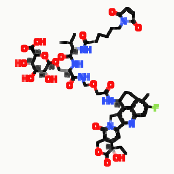 CC[C@@]1(O)C(=O)OCc2c1cc1n(c2=O)Cc2c-1nc1cc(F)c(C)c3c1c2[C@@H](NC(=O)COCNC(=O)[C@H](CO[C@@H]1O[C@H](C(=O)O)[C@@H](O)[C@H](O)[C@H]1O)NC(=O)[C@@H](NC(=O)CCCCCN1C(=O)C=CC1=O)C(C)C)CC3